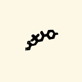 CC1=CCC(C(C)CC(CC(=O)O)C(C)(C)C)CC1